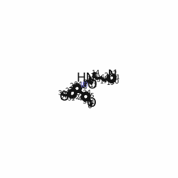 COc1ccc(-c2c(/C=C/C(=O)NC(C)CCCc3cccnc3)ccc3cc(OC)ccc23)cc1